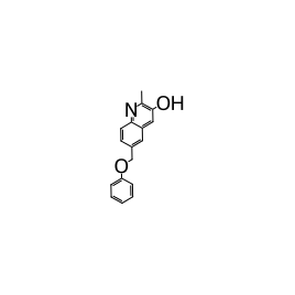 Cc1nc2ccc(COc3ccccc3)cc2cc1O